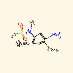 CCN(c1cc(N)c(OC)cc1OC)S(=O)(=O)CC